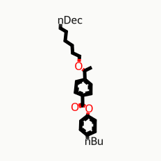 CCCCCCCCCCCCCCCCOC(C)c1ccc(C(=O)Oc2ccc(CCCC)cc2)cc1